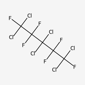 FC(Cl)(Cl)C(F)(F)C(Cl)(Cl)C(F)(F)C(F)(Cl)Cl